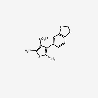 CCOC(=O)c1c(N)sc(C)c1-c1ccc2c(c1)OCO2